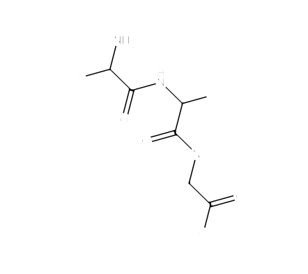 CC(N)C(=O)NC(C)C(=O)NCC(=O)O